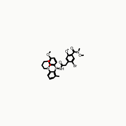 COc1ccc(N(NC(=O)Cc2cc(OC)c(C(=O)N(C)OC)cc2Br)c2c(C)cccc2N2CCCCC2)cc1